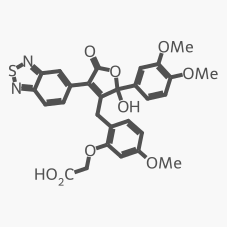 COc1ccc(CC2=C(c3ccc4nsnc4c3)C(=O)OC2(O)c2ccc(OC)c(OC)c2)c(OCC(=O)O)c1